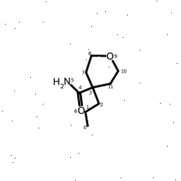 CCCC1(C(N)=O)CCOCC1